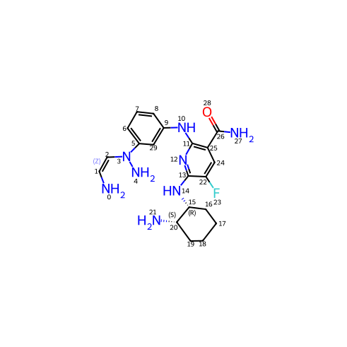 N/C=C\N(N)c1cccc(Nc2nc(N[C@@H]3CCCC[C@@H]3N)c(F)cc2C(N)=O)c1